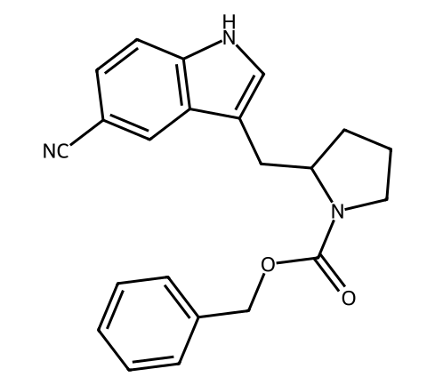 N#Cc1ccc2[nH]cc(CC3CCCN3C(=O)OCc3ccccc3)c2c1